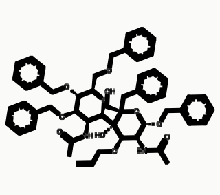 C=CCO[C@@H]1[C@H](NC(C)=O)[C@@H](OCc2ccccc2)O[C@@](CO)(Cc2ccccc2)[C@]1(O)[C@@H]1O[C@H](COCc2ccccc2)[C@@H](OCc2ccccc2)[C@H](OCc2ccccc2)[C@@H]1NC(C)=O